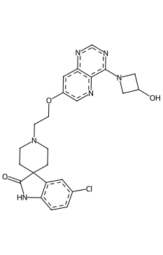 O=C1Nc2ccc(Cl)cc2C12CCN(CCOc1cnc3c(N4CC(O)C4)ncnc3c1)CC2